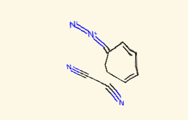 N#CC#N.[N-]=[N+]=C1C=CC=CC1